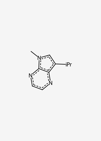 CC(C)c1cn(C)c2nccnc12